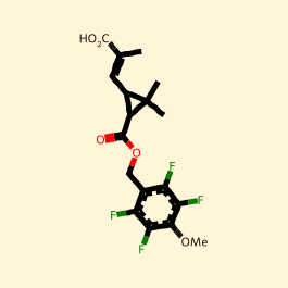 COc1c(F)c(F)c(COC(=O)C2C(/C=C(\C)C(=O)O)C2(C)C)c(F)c1F